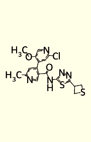 COc1cnc(Cl)cc1-c1cc(C)ncc1C(=O)Nc1nnc(C2CSC2)s1